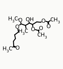 COC(OCCCCC(C)=O)C(C)C(O)C(CCOC(C)=O)OC(C)=O